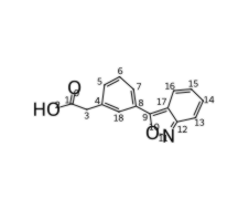 O=C(O)Cc1cccc(-c2onc3ccccc23)c1